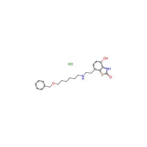 Cl.O=c1[nH]c2c(O)ccc(CCNCCCCCCOCc3ccccc3)c2s1